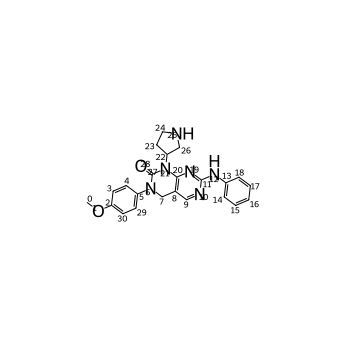 COc1ccc(N2Cc3cnc(Nc4ccccc4)nc3N(C3CCNC3)C2=O)cc1